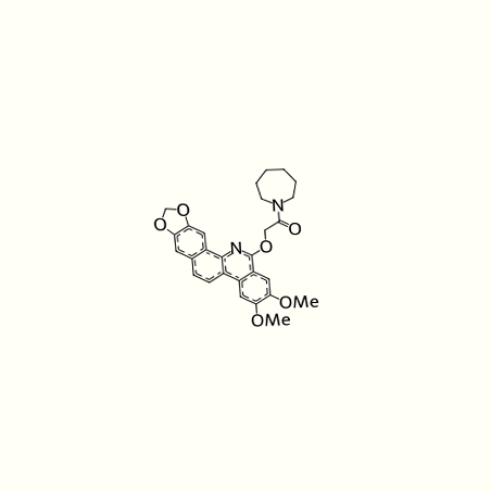 COc1cc2c(OCC(=O)N3CCCCCC3)nc3c4cc5c(cc4ccc3c2cc1OC)OCO5